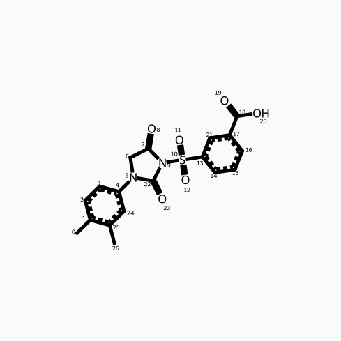 Cc1ccc(N2CC(=O)N(S(=O)(=O)c3cccc(C(=O)O)c3)C2=O)cc1C